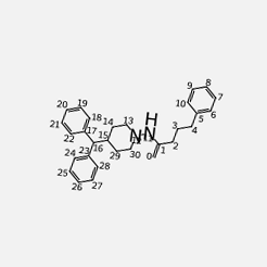 C=C(CCCc1ccccc1)NN1CCC(C(c2ccccc2)c2ccccc2)CC1